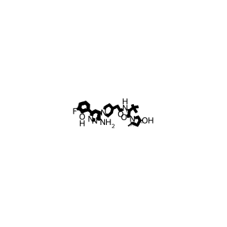 C[C@@H]1C[C@@H](O)CN1C(=O)[C@@H](NC(=O)CC1CCN(c2cc(-c3cccc(F)c3O)nnc2N)CC1)C(C)(C)C